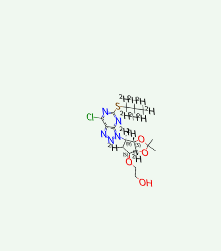 [2H]C1[C@H](OCCO)[C@@]2([2H])OC(C)(C)O[C@@]2([2H])[C@]1([2H])n1nnc2c(Cl)nc(SC([2H])([2H])C([2H])([2H])C([2H])([2H])[2H])nc21